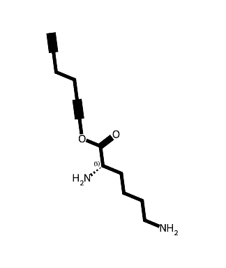 C#CCCC#COC(=O)[C@@H](N)CCCCN